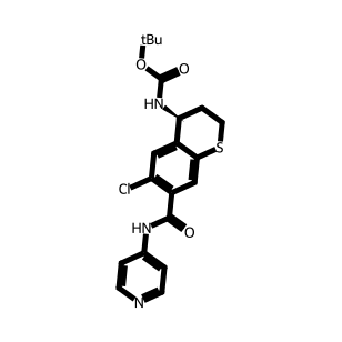 CC(C)(C)OC(=O)N[C@H]1CCSc2cc(C(=O)Nc3ccncc3)c(Cl)cc21